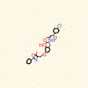 C/C(=C/C(=O)c1ccc(Cl)cc1)N[C@@H](Cc1ccc(OCCc2nc(-c3ccccc3)oc2C)cc1)C(=O)O